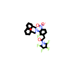 O=C(Cc1ccc([N+](=O)[O-])c(N(Cc2ccccc2)Cc2ccccc2)c1F)N1C(F)C(F)C(F)C1F